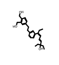 CC/C(=C/C=C/C(O)(CC)CC)c1cccc(CCc2ccc(CO)c(CO)c2)c1